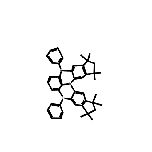 CC1(C)CC(C)(C)c2cc3c(cc21)B(c1ccccc1)c1cccc2c1N3c1cc3c(cc1B2c1ccccc1)C(C)(C)CC3(C)C